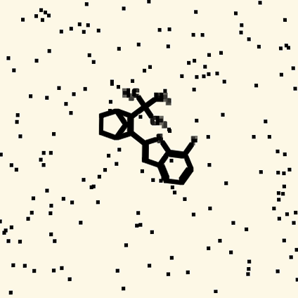 CC(C)(N)C1=C(c2cc3cccc(F)c3s2)C2CCC1C2